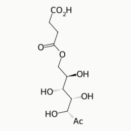 CC(=O)[C@H](O)[C@@H](O)[C@H](O)[C@H](O)COC(=O)CCC(=O)O